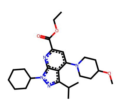 CCOC(=O)c1cc(N2CCC(OC)CC2)c2c(C(C)C)nn(C3CCCCC3)c2n1